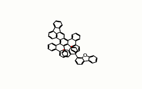 c1ccc(-c2ccccc2-c2c3cc4c5ccccc5c5cccc(c3c(-c3ccccc3-c3ccccc3)c3c6cccc7c(-c8cccc9c8oc8ccccc89)ccc(c23)c76)c54)cc1